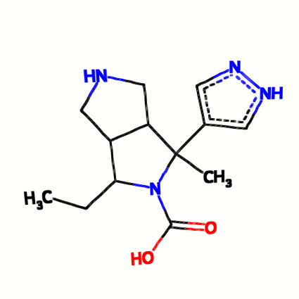 CCC1C2CNCC2C(C)(c2cn[nH]c2)N1C(=O)O